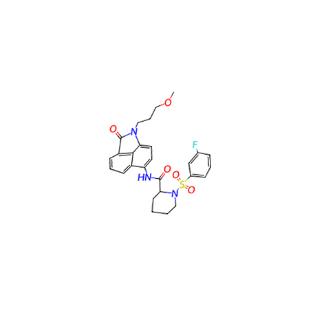 COCCCN1C(=O)c2cccc3c(NC(=O)C4CCCCN4S(=O)(=O)c4cccc(F)c4)ccc1c23